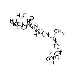 C=CCn1c(=O)c2cnc(Nc3ccc4c(c3)CCN(CCC(CCC)N3Cc5cc6onc(C7CCC(=O)NC7=O)c6cc5C3)C4)nc2n1-c1ccc2c(n1)[C@@](O)(CC)CC2